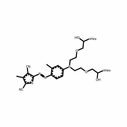 CCCCCCC(O)COCCN(CCOCC(O)CCCCCC)c1ccc(/N=N/c2sc(C#N)c(C)c2C#N)c(C)c1